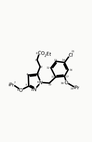 CCOC(=O)CCc1cc(OC(C)C)nn1Cc1ccc(Cl)cc1OC(C)C